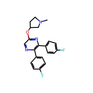 CN1CCC(Oc2cnc(-c3ccc(F)cc3)c(-c3ccc(F)cc3)n2)C1